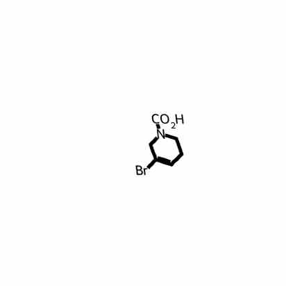 O=C(O)N1CCC=C(Br)C1